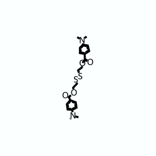 CN(C)c1ccc(C(=O)OCCSSCCOC(=O)c2ccc(N(C)C)cc2)cc1